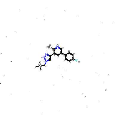 C[Si](C)(C)Cn1cc(-c2cc(-c3ccc(F)cc3)cnc2C#N)nn1